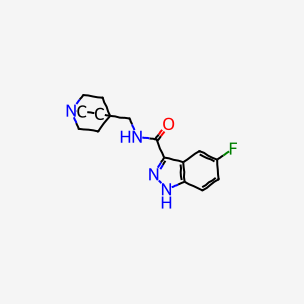 O=C(NCC12CCN(CC1)CC2)c1n[nH]c2ccc(F)cc12